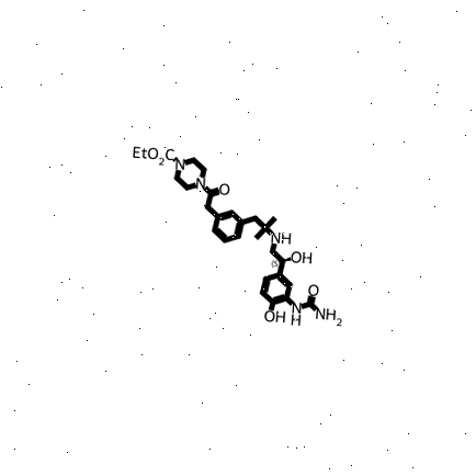 CCOC(=O)N1CCN(C(=O)Cc2cccc(CC(C)(C)NC[C@@H](O)c3ccc(O)c(NC(N)=O)c3)c2)CC1